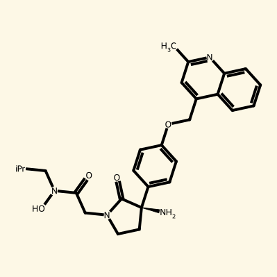 Cc1cc(COc2ccc([C@]3(N)CCN(CC(=O)N(O)CC(C)C)C3=O)cc2)c2ccccc2n1